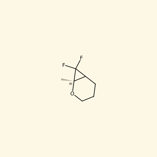 C[C@@]12OCCCC1C2(F)F